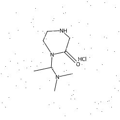 CC(N(C)C)N1CCNCC1=O.Cl